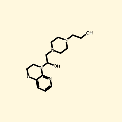 OCCN1CCN(CC(O)N2CCOc3cccnc32)CC1